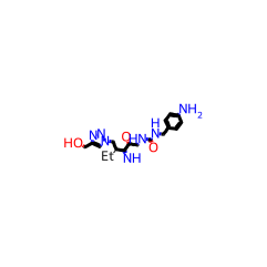 CC[C@H](Cn1cc(CO)nn1)C(=N)C(=O)CNC(=O)NCc1ccc(N)cc1